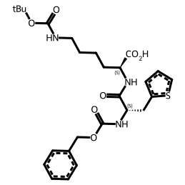 CC(C)(C)OC(=O)NCCCC[C@H](NC(=O)[C@H](Cc1cccs1)NC(=O)OCc1ccccc1)C(=O)O